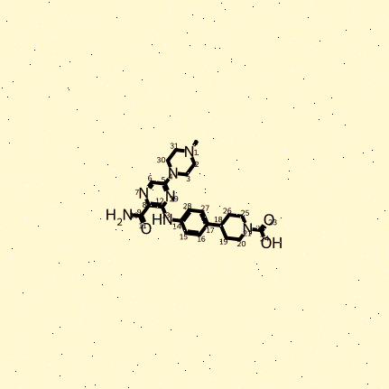 CN1CCN(c2cnc(C(N)=O)c(Nc3ccc(C4CCN(C(=O)O)CC4)cc3)n2)CC1